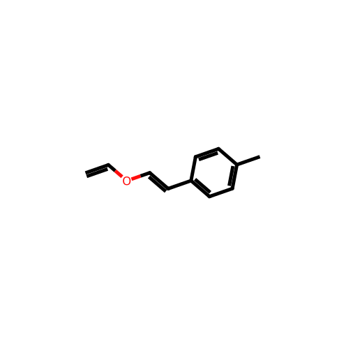 C=COC=Cc1ccc(C)cc1